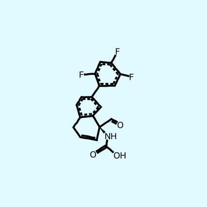 O=C[C@]1(NC(=O)O)C=CCc2ccc(-c3cc(F)c(F)cc3F)cc21